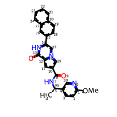 COc1ccc([C@@H](C)NC(=O)c2cc3c(=O)[nH]c(-c4ccc5ccccc5c4)cn3c2)cn1